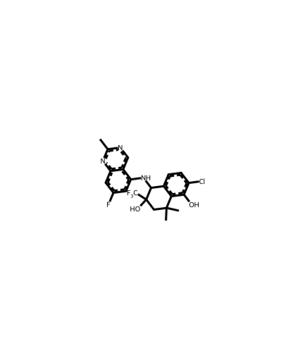 Cc1ncc2c(NC3c4ccc(Cl)c(O)c4C(C)(C)CC3(O)C(F)(F)F)cc(F)cc2n1